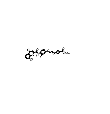 COC(=O)C1CC(OCCOc2ccc(NC(=O)c3cc(=O)c4cccc(Cl)c4o3)c(F)c2)C1